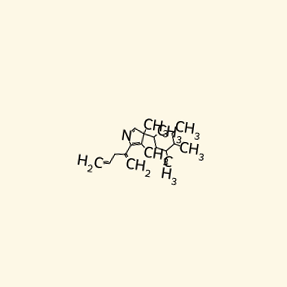 C=CCC(=C)C1=C(C)C(C)(C(C)CC(C)C(C)CC)C=N1